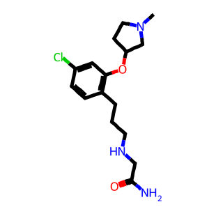 CN1CCC(Oc2cc(Cl)ccc2CCCNCC(N)=O)C1